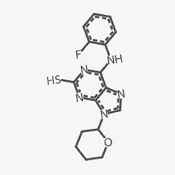 Fc1ccccc1Nc1nc(S)nc2c1ncn2C1CCCCO1